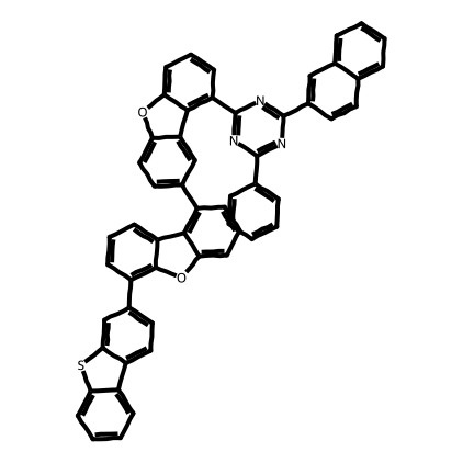 c1ccc(-c2nc(-c3ccc4ccccc4c3)nc(-c3cccc4oc5ccc(-c6cccc7oc8c(-c9ccc%10c(c9)sc9ccccc9%10)cccc8c67)cc5c34)n2)cc1